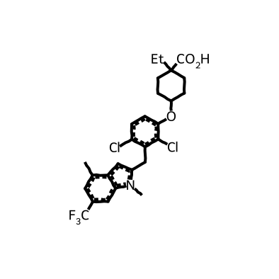 CCC1(C(=O)O)CCC(Oc2ccc(Cl)c(Cc3cc4c(C)cc(C(F)(F)F)cc4n3C)c2Cl)CC1